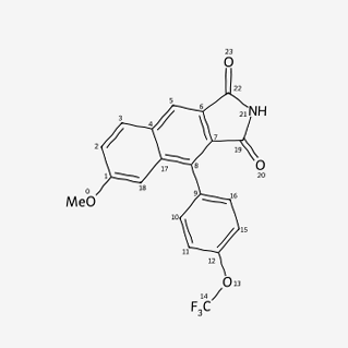 COc1ccc2cc3c(c(-c4ccc(OC(F)(F)F)cc4)c2c1)C(=O)NC3=O